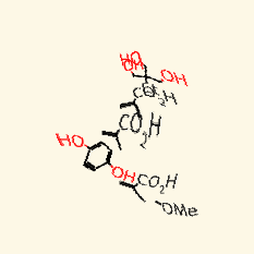 C=C(C)C(=O)O.C=C(C)C(=O)O.C=C(C)C(=O)O.CCC(CO)(CO)CO.COC.Oc1ccc(O)cc1